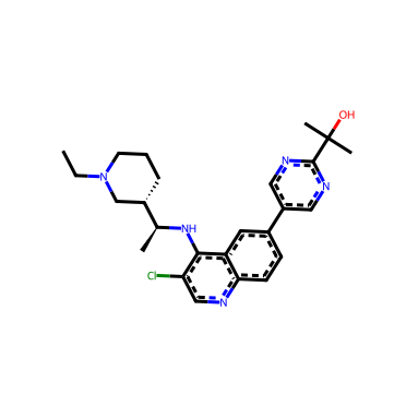 CCN1CCC[C@H]([C@H](C)Nc2c(Cl)cnc3ccc(-c4cnc(C(C)(C)O)nc4)cc23)C1